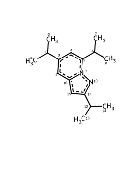 CC(C)c1cc(C(C)C)n2nc(C(C)C)cc2c1